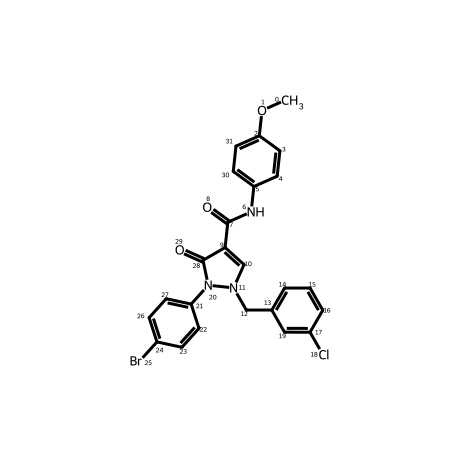 COc1ccc(NC(=O)c2cn(Cc3cccc(Cl)c3)n(-c3ccc(Br)cc3)c2=O)cc1